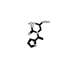 C=C(c1cccs1)N(CC(CCCCCC)CCCCCCCC)C(=O)CC